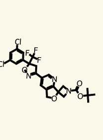 CC(C)(C)OC(=O)N1CC2(C1)OCc1cc(C3=NOC(c4cc(Cl)cc(Cl)c4)(C(F)(F)F)C3)cnc12